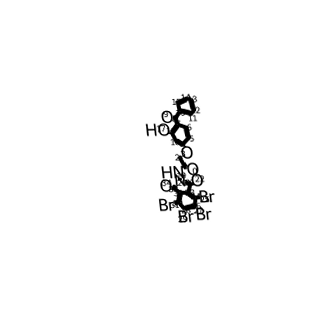 O=C(COc1ccc(C(=O)c2ccccc2)c(O)c1)NN1C(=O)c2c(Br)c(Br)c(Br)c(Br)c2C1=O